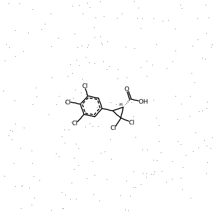 O=C(O)[C@H]1C(c2cc(Cl)c(Cl)c(Cl)c2)C1(Cl)Cl